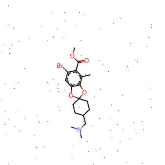 COC(=O)c1c(Br)cc2c(c1C)OC1(CCC(CN(C)C)CC1)O2